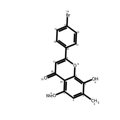 COc1cc(C)c(O)c2oc(-c3ccc(Br)cc3)cc(=O)c12